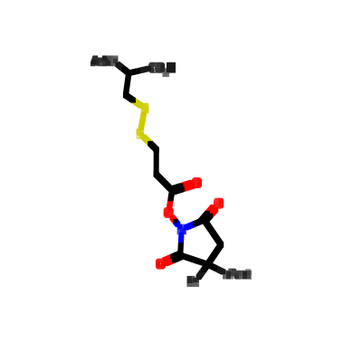 CCCCCC1(CC)CC(=O)N(OC(=O)CCSSCC(NC(C)=O)C(=O)O)C1=O